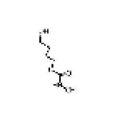 CNC(=O)OCCCCO